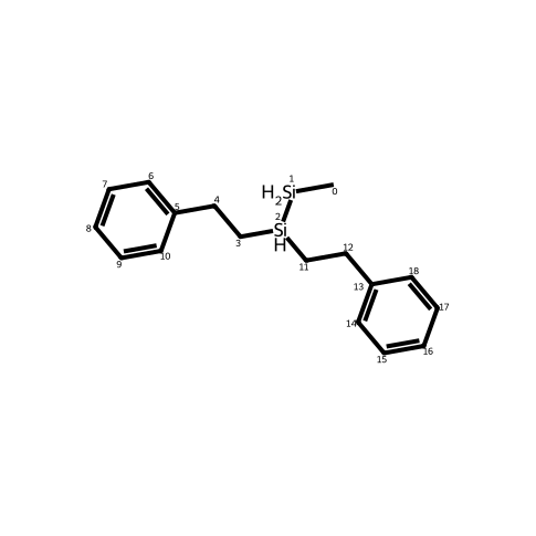 C[SiH2][SiH](CCc1ccccc1)CCc1ccccc1